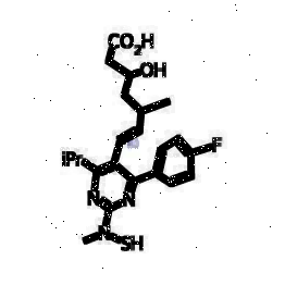 CC(/C=C/c1c(-c2ccc(F)cc2)nc(N(C)S)nc1C(C)C)CC(O)CC(=O)O